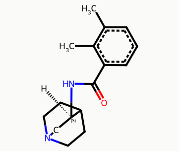 Cc1cccc(C(=O)N[C@@H]2CN3CCC2CC3)c1C